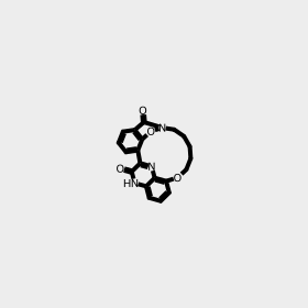 O=c1[nH]c2cccc3c2nc1-c1cccc2c(=O)n(oc12)CCCCCO3